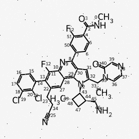 CNC(=O)c1ccc(-c2nc3c(F)c(-c4cccc(Cl)c4Cl)c(CCC#N)cc3c3c2cc([C@@H](C)n2ccncc2=O)n3[C@H]2[C@@H](CN)C[C@@H]2C)cc1F